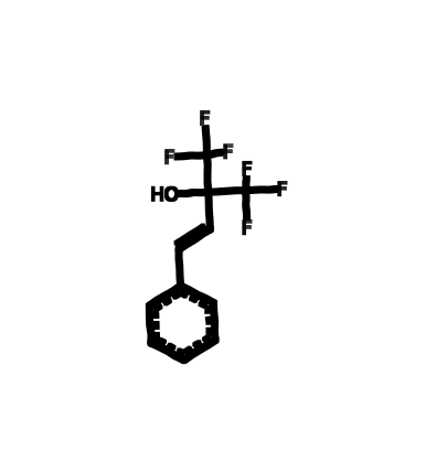 OC(C=Cc1ccccc1)(C(F)(F)F)C(F)(F)F